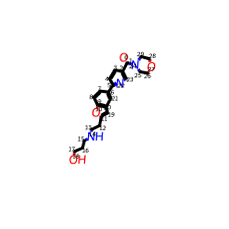 O=C(c1ccc(-c2ccc3oc(CCNCCCO)cc3c2)nc1)N1CCOCC1